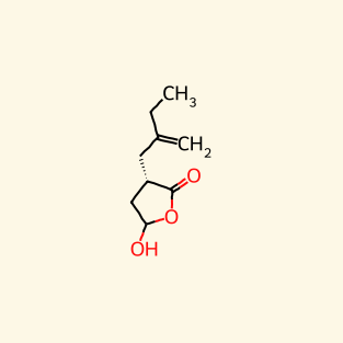 C=C(CC)C[C@H]1CC(O)OC1=O